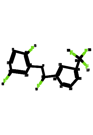 Fc1ccc(F)c(CC(F)c2cccc(C(F)(F)F)c2)c1